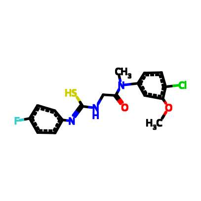 COc1cc(N(C)C(=O)CNC(S)=Nc2ccc(F)cc2)ccc1Cl